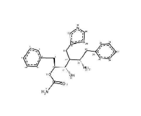 NC(=O)O[C@@H](Cc1ccccc1)[C@@H](O)C(Cc1cncs1)[C@@H](N)Cc1ccccc1